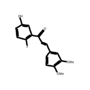 COc1ccc(/C=C/C(=O)c2cc(O)ccc2F)cc1OC